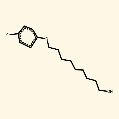 OCCCCCCCCCOc1ccc(Cl)cc1